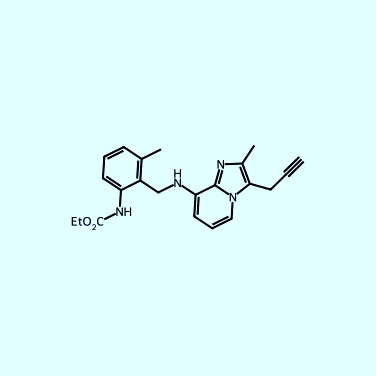 C#CCc1c(C)nc2c(NCc3c(C)cccc3NC(=O)OCC)cccn12